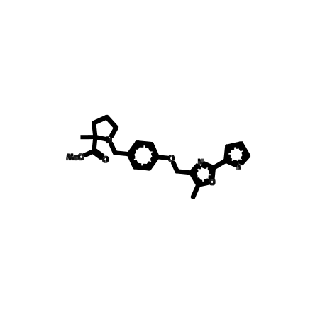 COC(=O)C1(C)CCCN1Cc1ccc(OCc2nc(-c3cccs3)oc2C)cc1